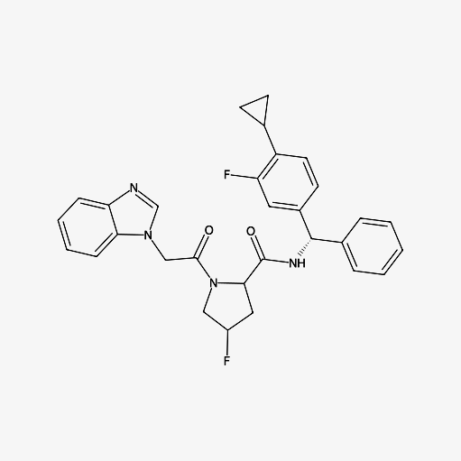 O=C(N[C@@H](c1ccccc1)c1ccc(C2CC2)c(F)c1)C1CC(F)CN1C(=O)Cn1cnc2ccccc21